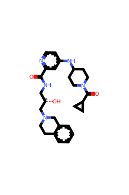 O=C(NC[C@H](O)CN1CCc2ccccc2C1)c1cc(NC2CCN(C(=O)C3CC3)CC2)ccn1